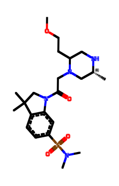 COCCC1CN[C@H](C)CN1CC(=O)N1CC(C)(C)c2ccc(S(=O)(=O)N(C)C)cc21